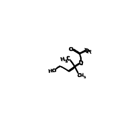 CC(C)C(=O)OC(C)(C)CCO